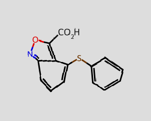 O=C(O)c1onc2cccc(Sc3ccccc3)c12